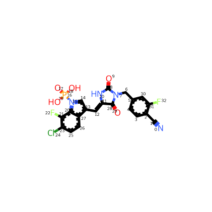 N#Cc1ccc(CN2C(=O)N/C(=C\c3cn(P(=O)(O)O)c4c(F)c(Cl)ccc34)C2=O)cc1F